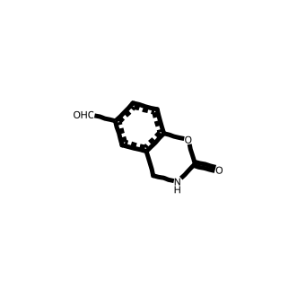 O=Cc1ccc2c(c1)CNC(=O)O2